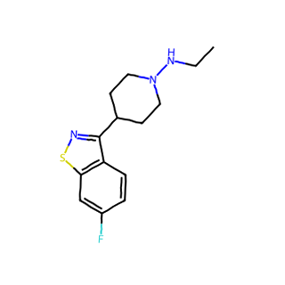 CCNN1CCC(c2nsc3cc(F)ccc23)CC1